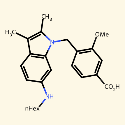 CCCCCCNc1ccc2c(C)c(C)n(Cc3ccc(C(=O)O)cc3OC)c2c1